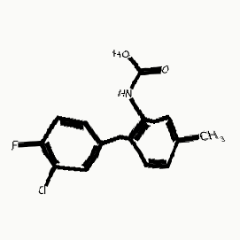 Cc1ccc(-c2ccc(F)c(Cl)c2)c(NC(=O)O)c1